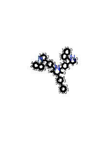 C=C1C(C2CC=C(c3cccnc3C3=CC=CC4C=CC=CC34)CC2)=NC(C2=CCC(C3CC=CN=C3c3cccc4ccccc34)C=C2)C(C)=CC1C1=CC=C(c2ccccc2)CC1